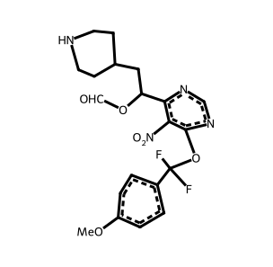 COc1ccc(C(F)(F)Oc2ncnc(C(CC3CCNCC3)OC=O)c2[N+](=O)[O-])cc1